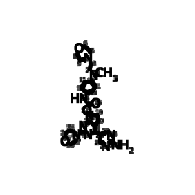 CN(CCN1CCOCC1)c1ccc(NC(=O)ON2CCc3c(-c4cnc(N)nc4)nc(N4CCOCC4)nc32)cc1